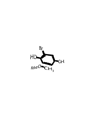 COC.Oc1ccc(O)c(Br)c1